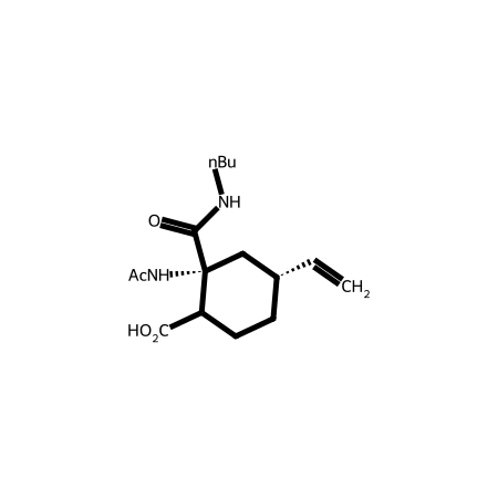 C=C[C@@H]1CCC(C(=O)O)[C@@](NC(C)=O)(C(=O)NCCCC)C1